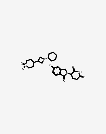 O=C1CCC(N2Cc3cc(O[C@H]4CCCC[C@H]4N4CC(C5CCS(=O)(=O)CC5)C4)ccc3C2=O)C(=O)N1